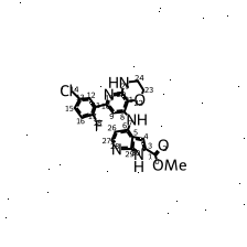 COC(=O)c1cc2c(Nc3cc(-c4cc(Cl)ccc4F)nc4c3OCCN4)ccnc2[nH]1